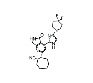 N#C[C@H]1CCCCC[C@H]1c1cc(-c2nc(N3CCC(F)(F)CC3)c[nH]2)c2c(n1)CNC2=O